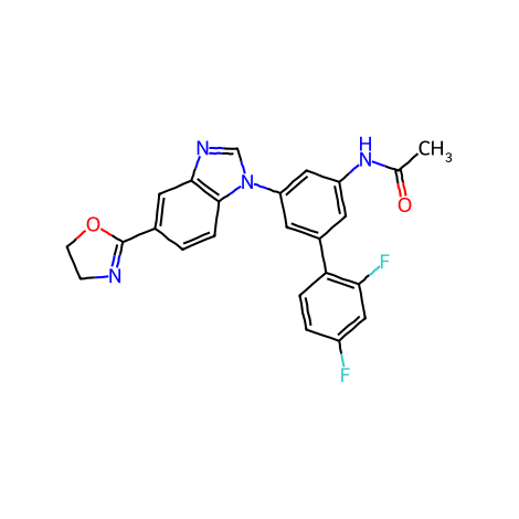 CC(=O)Nc1cc(-c2ccc(F)cc2F)cc(-n2cnc3cc(C4=NCCO4)ccc32)c1